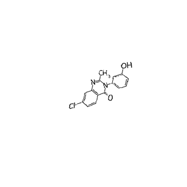 Cc1nc2cc(Cl)ccc2c(=O)n1-c1cccc(O)c1